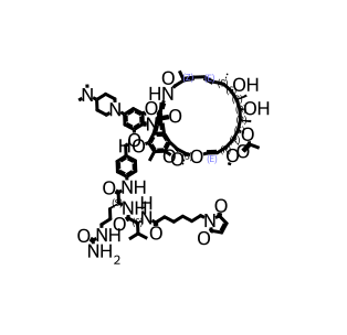 CO[C@H]1/C=C/O[C@@]2(C)Oc3c(C)c(O)c4c(=O)c(c5oc6cc(N7CCC(N(C)C)CC7)cc(OCc7ccc(NC(=O)[C@H](CCCNC(N)=O)NC(=O)[C@@H](NC(=O)CCCCCN8C(=O)C=CC8=O)C(C)C)cc7)c6nc-5c4c3C2=O)NC(=O)/C(C)=C\C=C\[C@H](C)[C@H](O)[C@@H](C)[C@@H](O)[C@@H](C)[C@H](OC(C)=O)[C@@H]1C